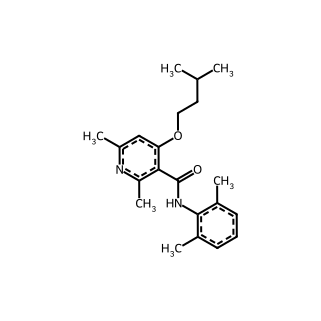 Cc1cc(OCCC(C)C)c(C(=O)Nc2c(C)cccc2C)c(C)n1